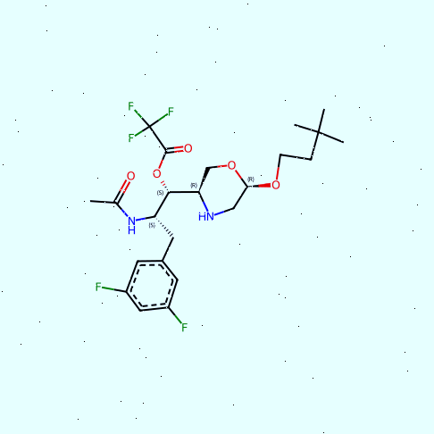 CC(=O)N[C@@H](Cc1cc(F)cc(F)c1)[C@H](OC(=O)C(F)(F)F)[C@H]1CO[C@@H](OCCC(C)(C)C)CN1